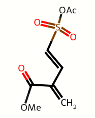 C=C(C=CS(=O)(=O)OC(C)=O)C(=O)OC